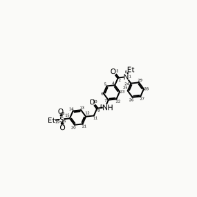 CCN(C(=O)c1ccc(NC(=O)Cc2ccc(S(=O)(=O)CC)cc2)cc1)c1ccccc1